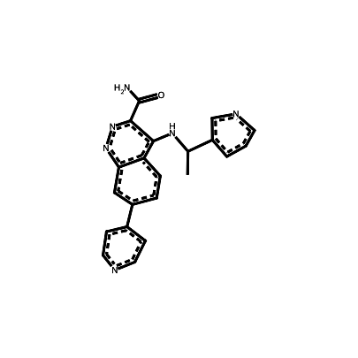 CC(Nc1c(C(N)=O)nnc2cc(-c3ccncc3)ccc12)c1cccnc1